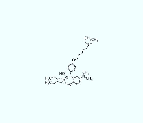 CCCCC1(CCCC)CSc2ccc(N(C)C)cc2C(c2ccc(OCCCCCN(CC)CC)cc2)[C@H]1O